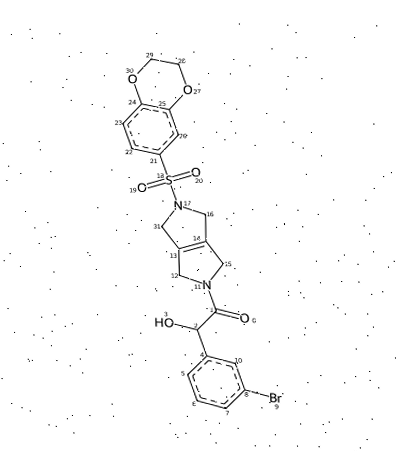 O=C(C(O)c1cccc(Br)c1)N1CC2=C(C1)CN(S(=O)(=O)c1ccc3c(c1)OCCO3)C2